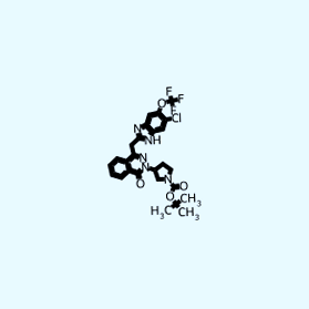 CC(C)(C)OC(=O)N1CCC(n2nc(Cc3nc4cc(OC(F)(F)F)c(Cl)cc4[nH]3)c3ccccc3c2=O)C1